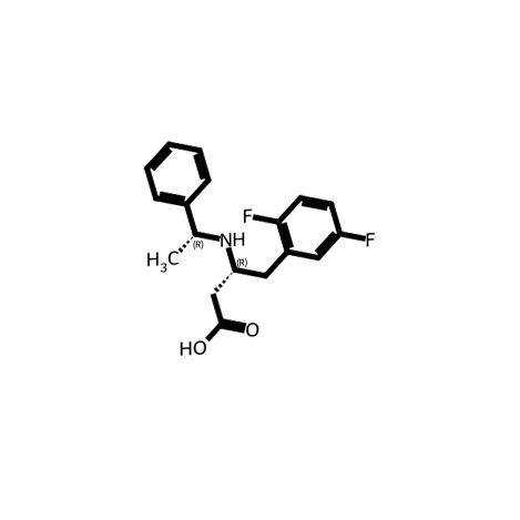 C[C@@H](N[C@@H](CC(=O)O)Cc1cc(F)ccc1F)c1ccccc1